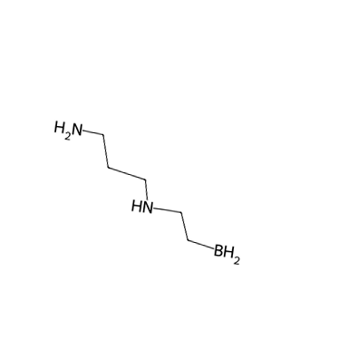 BCCNCCCN